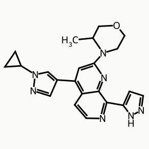 CC1COCCN1c1cc(-c2cnn(C3CC3)c2)c2ccnc(-c3ccn[nH]3)c2n1